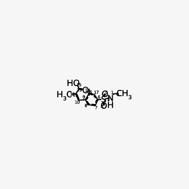 CCNS(=O)(=O)c1ccc(C=C(C)C(=O)O)cc1